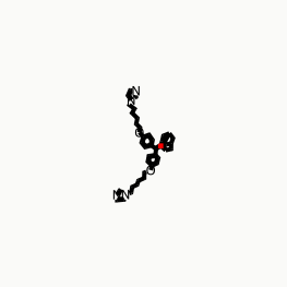 c1cn(CCCCCCOc2ccc(C(=C3C4CC5CC(C4)CC3C5)c3ccc(OCCCCCCn4ccnc4)cc3)cc2)cn1